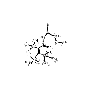 CCC(OC(=O)C(=C([Si](C)(C)C)[Si](C)(C)C)[Si](C)(C)C)[SiH2]O[SiH3]